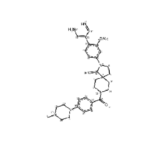 COc1cc(N2CCC3(CCN(C(=O)c4ccc(N5CCN(C)CC5)cc4)CC3)C2=O)ccc1/C(C=N)=C/N